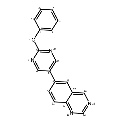 c1ccc(Oc2ncc(-c3ccc4ncncc4c3)cn2)cc1